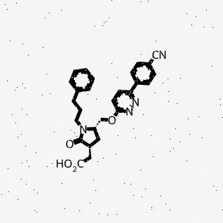 N#Cc1ccc(-c2ccc(OC[C@@H]3C[C@@H](CC(=O)O)C(=O)N3CCCc3ccccc3)nn2)cc1